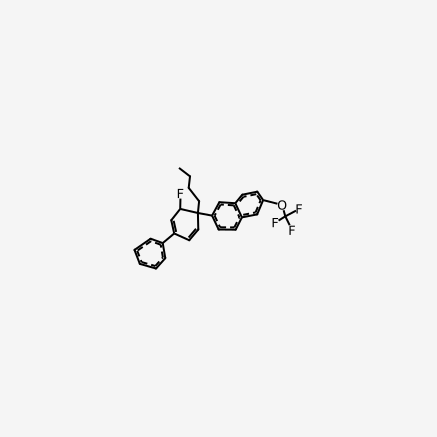 CCCCC1(c2ccc3cc(OC(F)(F)F)ccc3c2)C=CC(c2ccccc2)=CC1F